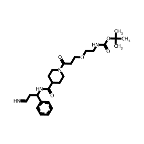 CC(C)(C)OC(=O)NCCOCCC(=O)N1CCC(C(=O)NC(CC=N)c2ccccc2)CC1